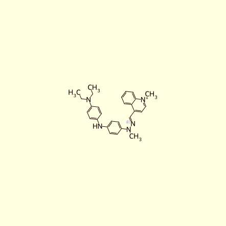 CCN(CC)c1ccc(Nc2ccc(N(C)/N=C/c3cc[n+](C)c4ccccc34)cc2)cc1